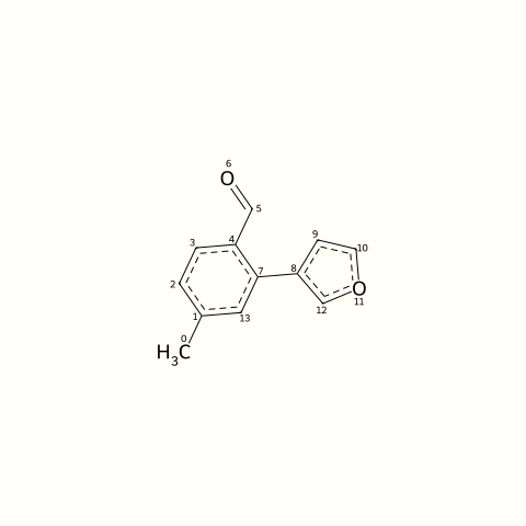 Cc1ccc(C=O)c(-c2ccoc2)c1